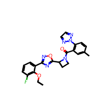 CCOc1c(F)cccc1-c1noc(C2CCN2C(=O)c2cc(C)ccc2-n2nccn2)n1